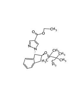 CCOC(=O)c1cnn([C@H]2c3ccccc3C[C@@H]2O[Si](C)(C)C(C)(C)C)c1